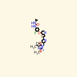 COCCN(Cc1ccc(-c2cc3nccc(Oc4ccc(NC(=O)NC5CC5)cc4F)c3s2)nc1)C(=O)[C@H](N)C(C)C